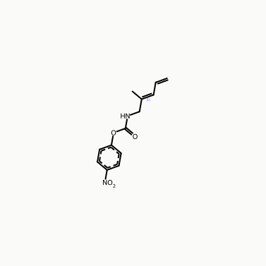 C=C/C=C(\C)CNC(=O)Oc1ccc([N+](=O)[O-])cc1